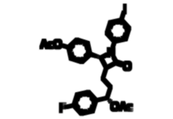 CC(=O)Oc1ccc([C@@H]2C(CC[C@H](OC(C)=O)c3ccc(F)cc3)C(=O)N2c2ccc(I)cc2)cc1